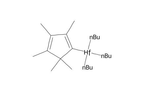 CCC[CH2][Hf]([CH2]CCC)([CH2]CCC)[C]1=C(C)C(C)=C(C)C1(C)C